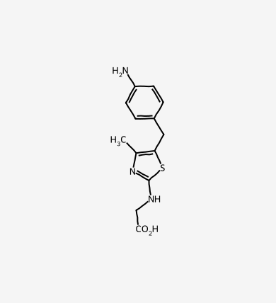 Cc1nc(NCC(=O)O)sc1Cc1ccc(N)cc1